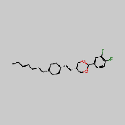 CCCCCCC[C@H]1CC[C@H](CC[C@H]2CO[C@H](c3ccc(F)c(F)c3)OC2)CC1